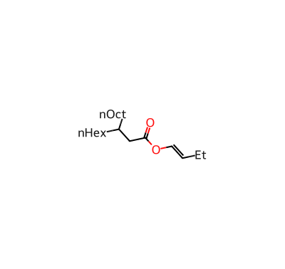 CCC=COC(=O)CC(CCCCCC)CCCCCCCC